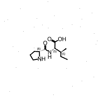 CC[C@H](C)[C@H](NC(=O)[C@H]1CCCN1)C(=O)O